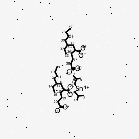 CC(C)[CH2][Sn+4][CH2]C(C)C.CCCCC(CC)CC(CCCC(=O)[O-])C(=O)[O-].CCCCC(CC)CC(CCCC(=O)[O-])C(=O)[O-]